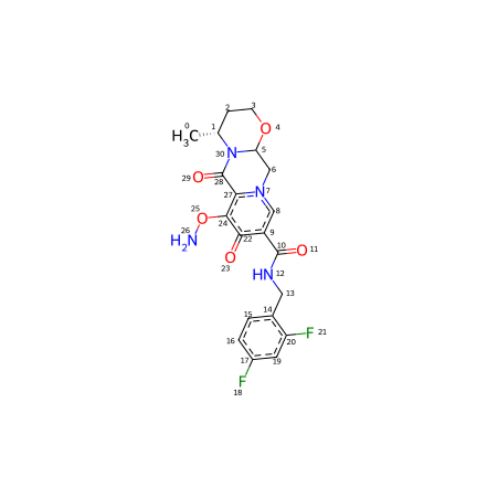 C[C@@H]1CCOC2Cn3cc(C(=O)NCc4ccc(F)cc4F)c(=O)c(ON)c3C(=O)N21